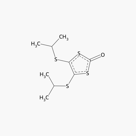 CC(C)Sc1sc(=O)sc1SC(C)C